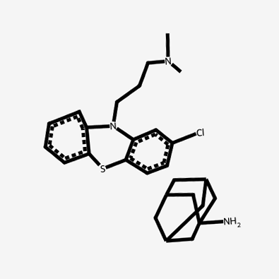 CN(C)CCCN1c2ccccc2Sc2ccc(Cl)cc21.NC12CC3CC(CC(C3)C1)C2